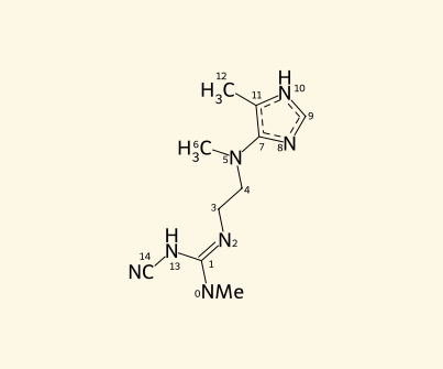 CNC(=NCCN(C)c1nc[nH]c1C)NC#N